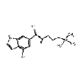 C[N+](C)(C)CCCNC(=O)c1cc(O)c2cc[nH]c2c1.[Cl-]